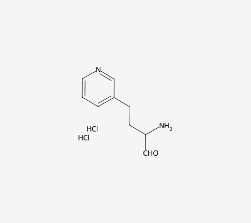 Cl.Cl.NC(C=O)CCc1cccnc1